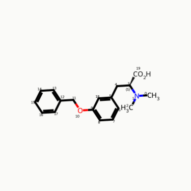 CN(C)[C@@H](Cc1cccc(OCc2ccccc2)c1)C(=O)O